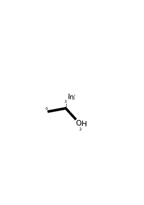 CCO.[In]